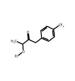 CCOC(C)C(=O)Cc1ccc(C(F)(F)F)cc1